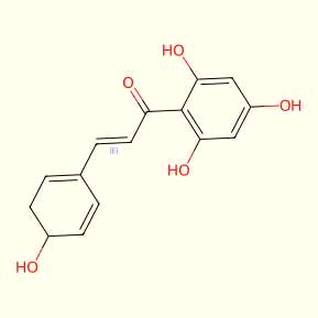 O=C(/C=C/C1=CCC(O)C=C1)c1c(O)cc(O)cc1O